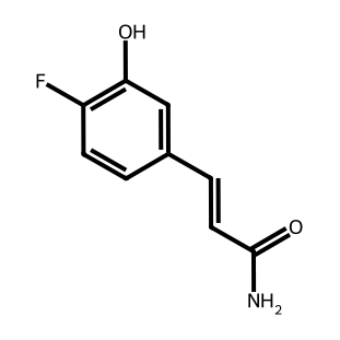 NC(=O)C=Cc1ccc(F)c(O)c1